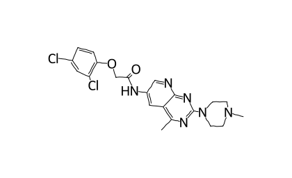 Cc1nc(N2CCN(C)CC2)nc2ncc(NC(=O)COc3ccc(Cl)cc3Cl)cc12